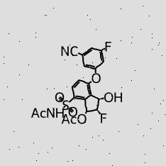 CC(=O)NS(=O)(=O)c1ccc(Oc2cc(F)cc(C#N)c2)c2c1[C@H](OC(C)=O)[C@H](F)[C@@H]2O